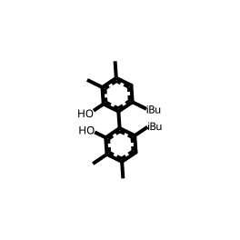 CCC(C)c1cc(C)c(C)c(O)c1-c1c(C(C)CC)cc(C)c(C)c1O